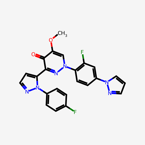 COc1cn(-c2ccc(-n3cccn3)cc2F)nc(-c2ccnn2-c2ccc(F)cc2)c1=O